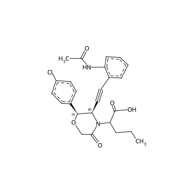 CCCC(C(=O)O)N1C(=O)CO[C@@H](c2ccc(Cl)cc2)[C@H]1C#Cc1ccccc1NC(C)=O